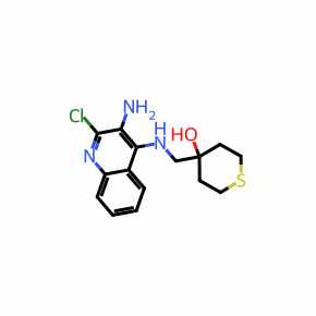 Nc1c(Cl)nc2ccccc2c1NCC1(O)CCSCC1